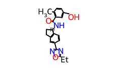 CCc1nc(-c2ccc3c(c2)CC[C@H]3NC(=O)c2cc(CO)ccc2C)no1